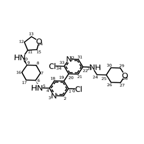 Clc1cnc(N[C@H]2CC[C@H](NC3CCOC3)CC2)cc1-c1cc(NCC2CCOCC2)cnc1Cl